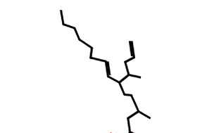 C=CCC(C)C(/C=C/CCCCCC)CCC(C)CC(=O)O